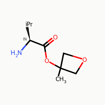 CC(C)[C@H](N)C(=O)OC1(C)COC1